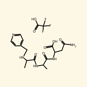 CC(NCc1ccncc1)C(=O)NC(C)C(=O)NC(CC(N)=O)C(=O)O.O=C(O)C(F)(F)F